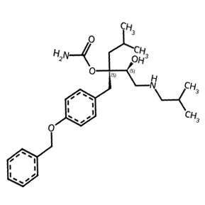 CC(C)CNC[C@H](O)[C@@](Cc1ccc(OCc2ccccc2)cc1)(CC(C)C)OC(N)=O